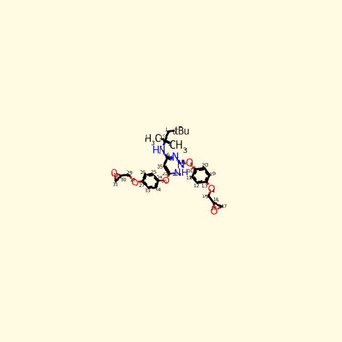 CC(C)(C)CC(C)(C)NC1=NN(Oc2ccc(OCC3CO3)cc2)NC(Oc2ccc(OCC3CO3)cc2)=C1